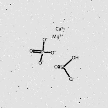 O=P([O-])([O-])[O-].O=[Si]([O-])O.[Ca+2].[Mg+2]